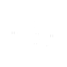 CCC(=O)[O-].CCC(=O)[O-].CCO.[Ca+2]